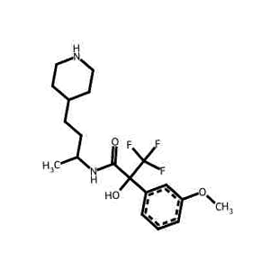 COc1cccc(C(O)(C(=O)NC(C)CCC2CCNCC2)C(F)(F)F)c1